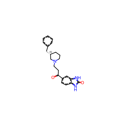 O=C(CCN1CCC[C@@H](Cc2ccccc2)C1)c1ccc2[nH]c(=O)[nH]c2c1